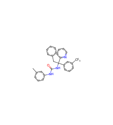 Cc1cccc(NC(=O)NC(Cc2ccccc2)(c2cccc(C(F)(F)F)c2)c2ccccn2)c1